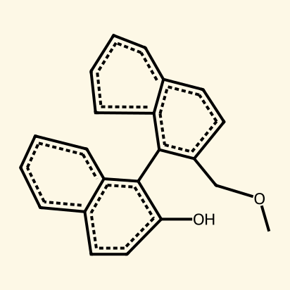 COCc1ccc2ccccc2c1-c1c(O)ccc2ccccc12